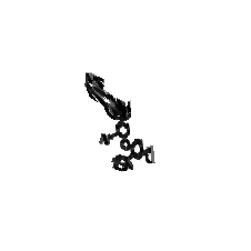 N#Cc1cc(S(=O)(=O)Nc2ncns2)ccc1Oc1ccc(Cl)cc1-c1ccon1